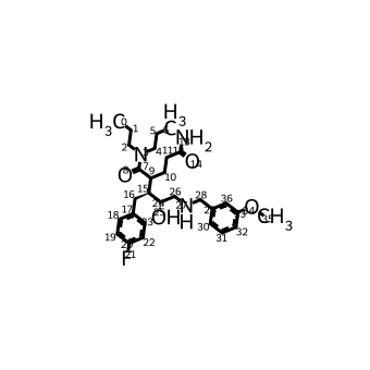 CCCN(CCC)C(=O)C(CCC(N)=O)[C@H](Cc1ccc(F)cc1)[C@@H](O)CNCc1cccc(OC)c1